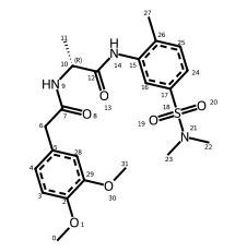 COc1ccc(CC(=O)N[C@H](C)C(=O)Nc2cc(S(=O)(=O)N(C)C)ccc2C)cc1OC